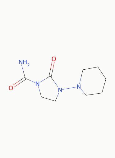 NC(=O)N1CCN(N2CCCCC2)C1=O